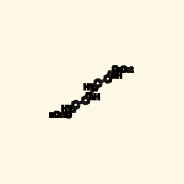 CCCCCCCCOc1cc2cc(-c3ccc4[nH]c(-c5cc6cc(-c7ccc8[nH]c(OCCCCCCCC)cc8c7)ccc6[nH]5)cc4c3)ccc2[nH]1